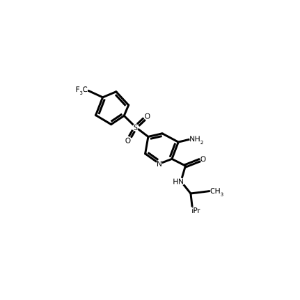 CC(C)C(C)NC(=O)c1ncc(S(=O)(=O)c2ccc(C(F)(F)F)cc2)cc1N